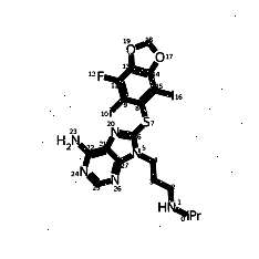 CC(C)NCCCn1c(Sc2c(I)c(F)c3c(c2I)OCO3)nc2c(N)ncnc21